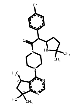 C[C@@H]1C[C@@](C)(O)c2ncnc(N3CCN(C(=O)C(c4ccc(Br)cc4)C4CCC(C)(C)N4)CC3)c21